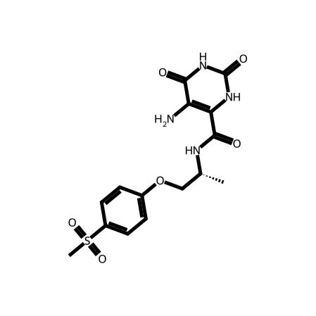 C[C@H](COc1ccc(S(C)(=O)=O)cc1)NC(=O)c1[nH]c(=O)[nH]c(=O)c1N